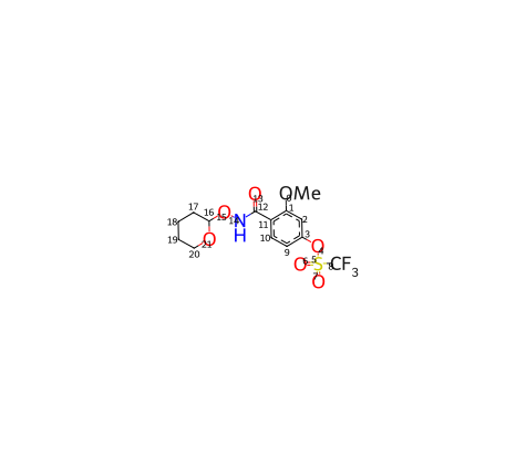 COc1cc(OS(=O)(=O)C(F)(F)F)ccc1C(=O)NOC1CCCCO1